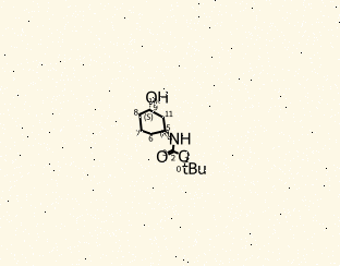 CC(C)(C)OC(=O)N[C@@H]1CCC[C@H](O)C1